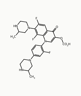 CC1CN(c2ccc(-n3cc(OC(=O)O)c(=O)c4cc(F)c(N5CCNC(C)C5)c(F)c43)c(F)c2)CCN1